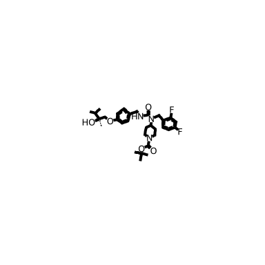 CC(C)[C@](C)(O)COc1ccc(CNC(=O)N(Cc2ccc(F)cc2F)C2CCN(C(=O)OC(C)(C)C)CC2)cc1